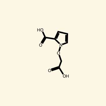 O=C(O)COn1cccc1C(=O)O